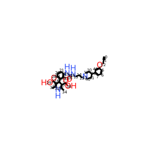 C#CCOc1cccc(C2CCN(CCCNC(=O)Nc3cccc(C4C(C(=O)O)=C(C)NC(C)=C4C(=O)O)c3)CC2)c1